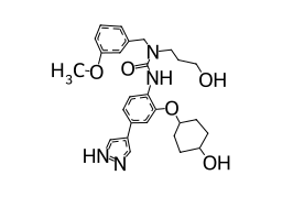 COc1cccc(CN(CCCO)C(=O)Nc2ccc(-c3cn[nH]c3)cc2OC2CCC(O)CC2)c1